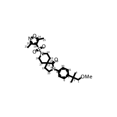 COCC(C)(C)c1ccc(N2CCC3(CCN(S(=O)(=O)c4c(C)noc4C)CC3)C2=O)cc1